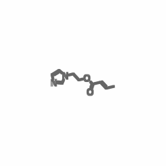 C/C=C/C(=O)OCCn1ccnc1